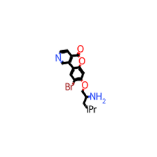 CC(C)CC(N)COc1cc2oc(=O)c3ccncc3c2cc1Br